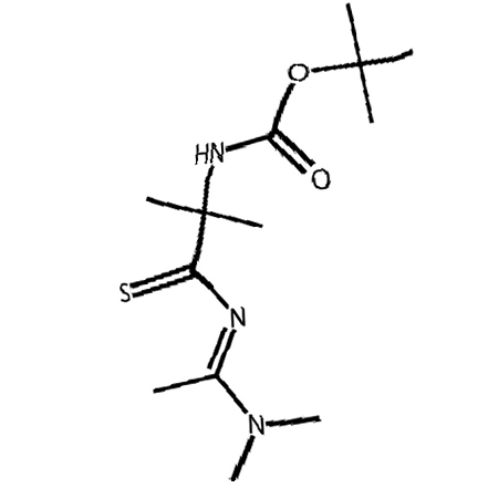 C/C(=N\C(=S)C(C)(C)NC(=O)OC(C)(C)C)N(C)C